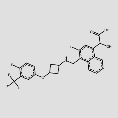 O=C(O)C(O)c1cc(F)c(CNC2CC(Oc3ccc(F)c(C(F)(F)F)c3)C2)c2ccncc12